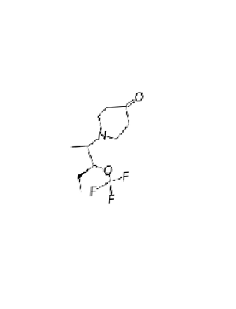 CC[C@H](OC(F)(F)F)C(C)N1CCC(=O)CC1